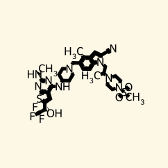 CNc1nc(NC2CCN(Cc3ccc4c(cc(C#N)n4CC(C)N4CCN(S(C)(=O)=O)CC4)c3C)CC2)c2cc([C@@H](O)C(F)(F)F)sc2n1